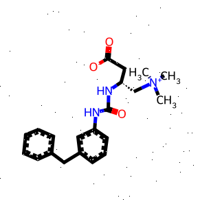 C[N+](C)(C)C[C@@H](CC(=O)[O-])NC(=O)Nc1cccc(Cc2ccccc2)c1